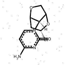 CC[C@@H]1CC2OCC(O1)[C@H]2n1ccc(N)nc1=O